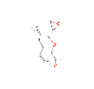 C(OCC1CO1)C1CO1.C=CCCC=C